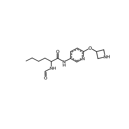 CCCCC(NC=O)C(=O)Nc1ccc(OC2CNC2)nc1